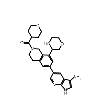 Cc1c[nH]c2ncc(-c3cc4c(c(C5COCCN5)c3)CN(C(=O)C3CCOCC3)CC4)cc12